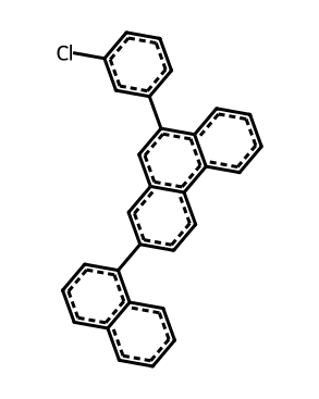 Clc1cccc(-c2cc3cc(-c4cccc5ccccc45)ccc3c3ccccc23)c1